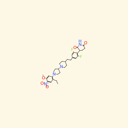 CCc1cc([N+](=O)[O-])c(OC)cc1N1CCC(N2CCC(CCc3cc(F)c(C4CCC(=O)NC4=O)c(F)c3)CC2)CC1